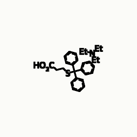 CCN(CC)CC.O=C(O)CCSC(c1ccccc1)(c1ccccc1)c1ccccc1